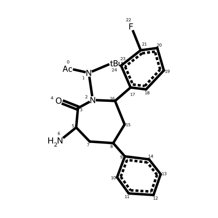 CC(=O)N(N1C(=O)C(N)CC(c2ccccc2)CC1c1cccc(F)c1)C(C)(C)C